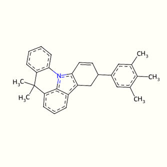 Cc1cc(C2C=Cc3c(c4cccc5c4n3-c3ccccc3C5(C)C)C2)cc(C)c1C